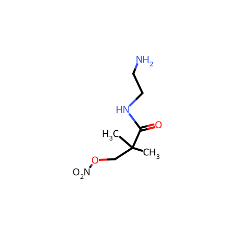 CC(C)(CO[N+](=O)[O-])C(=O)NCCN